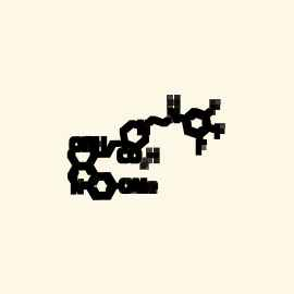 COc1ccc2ncc(CO)c(C(O)CCC3(C(=O)O)CCN(CCNc4cc(F)c(F)c(F)c4)CC3)c2c1